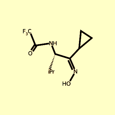 CC(C)[C@H](NC(=O)C(F)(F)F)C(=NO)C1CC1